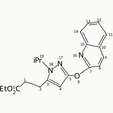 CCOC(=O)CCc1cc(Oc2ccc3ccccc3n2)nn1C(C)C